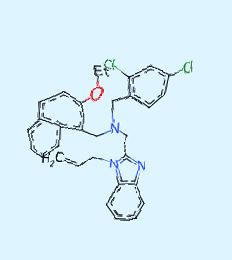 C=CCn1c(CN(Cc2ccc(Cl)cc2Cl)Cc2c(OCC)ccc3ccccc23)nc2ccccc21